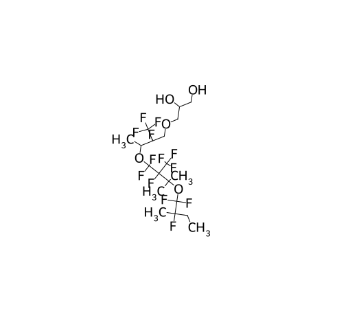 CCC(C)(F)C(F)(F)OC(C)(C)C(F)(C(F)(F)F)C(F)(F)OC(C)C(F)(COCC(O)CO)C(F)(F)F